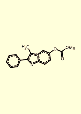 COC(=O)Oc1ccc2nc(-c3ccccc3)c(C)n2c1